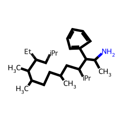 CCC(CC(C)C)C(C)C(C)CCC(C)CC(C(C)C)C(c1ccccc1)C(C)N